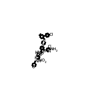 CC1(C)CCC(CN2CCN(c3ccc(C(=O)NS(=O)(=O)c4cnc(NCC5CCOCC5)c([N+](=O)[O-])c4)c(Oc4cnc(N)c(Cl)c4)c3)CC2)=C(c2ccc(Cl)cc2)C1